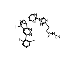 C/S(CCc1ncn(-c2nccc([C@]34CC[C@@H](c5cc(-c6c(F)cccc6F)nnc53)C4(C)C)n2)n1)=N\C#N